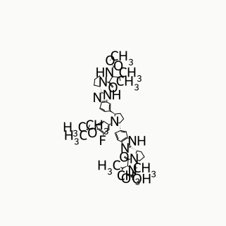 COC(=O)N[C@H](C(=O)N1CCC[C@H]1c1nc2ccc([C@H]3CC[C@H](c4ccc5nc([C@@H]6CCCN6C(=O)[C@H](C(C)C)N(C)C(=O)O)[nH]c5c4)N3c3ccc(OC(C)(C)C)c(F)c3)cc2[nH]1)C(C)C